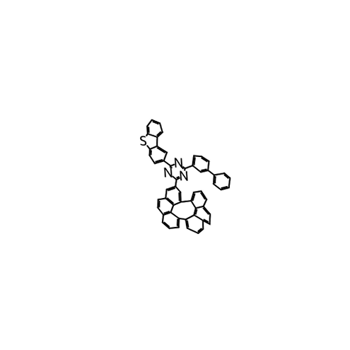 c1ccc(-c2cccc(-c3nc(-c4ccc5sc6ccccc6c5c4)nc(-c4cc5ccc6cccc7c8cccc9ccc%10cccc(c(c4)c5c67)c%10c98)n3)c2)cc1